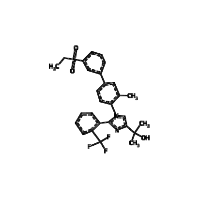 CCS(=O)(=O)c1cccc(-c2ccc(-n3cc(C(C)(C)O)nc3-c3ccccc3C(F)(F)F)c(C)c2)c1